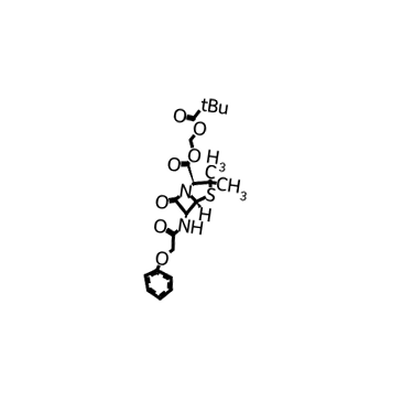 CC(C)(C)C(=O)OCOC(=O)[C@@H]1N2C(=O)[C@@H](NC(=O)COc3ccccc3)[C@H]2SC1(C)C